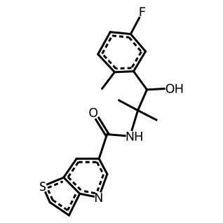 Cc1ccc(F)cc1C(O)C(C)(C)NC(=O)c1cnc2ccsc2c1